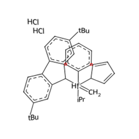 Cl.Cl.[CH2]=[Hf]([c]1ccccc1)([CH](C)C)([CH]1C=CC=C1)[CH]1c2cc(C(C)(C)C)ccc2-c2ccc(C(C)(C)C)cc21